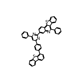 c1ccc(-c2cc(-c3ccc(-c4cccc5c4sc4ccccc45)cc3)nc(-c3ccc4c(c3)nc(-c3ccccc3)c3c5ccccc5sc43)n2)cc1